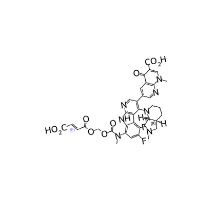 CN1C[C@H]2CCCN(c3c(-c4cnc5c(c4)c(=O)c(C(=O)O)cn5C)cnc4[nH]c5c(N(C)C(=O)OCOC(=O)/C=C/C(=O)O)cc(F)c(F)c5c34)[C@H]2C1